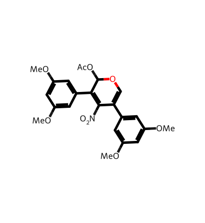 COc1cc(OC)cc(C2=COC(OC(C)=O)C(c3cc(OC)cc(OC)c3)=C2[N+](=O)[O-])c1